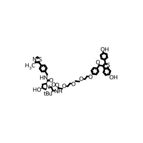 Cc1ncsc1-c1ccc(CNC(=O)[C@@H]2C[C@@H](O)CN2C(=O)[C@@H](NC(=O)COCCOCCOCCOc2ccc(C(=O)c3c(-c4ccc(O)cc4)sc4cc(O)ccc34)cc2)C(C)(C)C)cc1